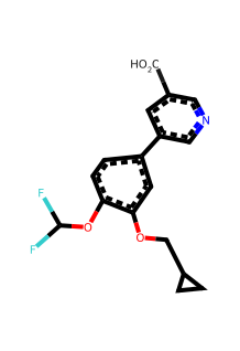 O=C(O)c1cncc(-c2ccc(OC(F)F)c(OCC3CC3)c2)c1